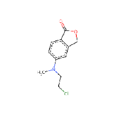 CN(CCCl)c1ccc2c(c1)COC2=O